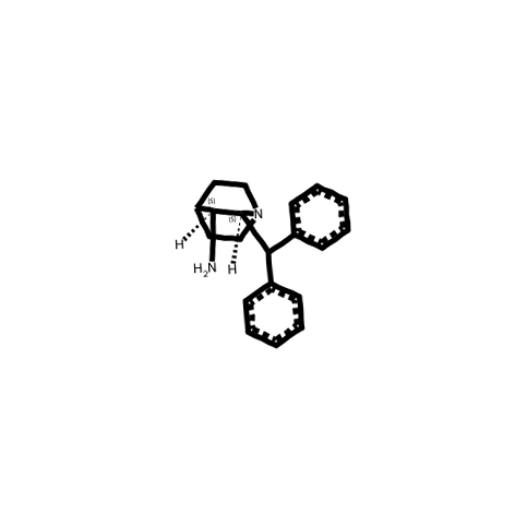 N[C@H]1C2CCN(CC2)[C@H]1C(c1ccccc1)c1ccccc1